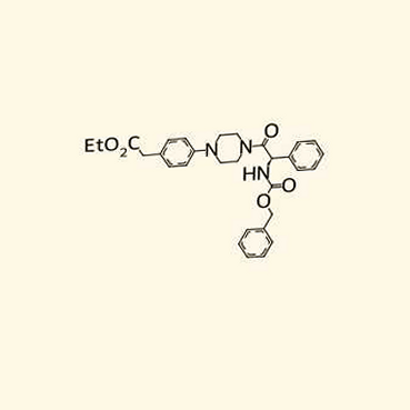 CCOC(=O)Cc1ccc(N2CCN(C(=O)[C@H](NC(=O)OCc3ccccc3)c3ccccc3)CC2)cc1